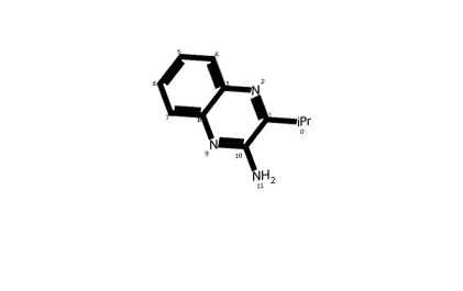 CC(C)c1nc2ccccc2nc1N